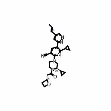 C/C=C/c1cnnc(-c2cc(C#N)c(N3CCN(C(=O)C[C@H]4CCO4)[C@H](C4CC4)C3)nc2C2CC2)c1